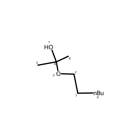 CCCCCCOC(C)(C)O